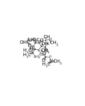 C=C[C@@]1(C)CC(=O)[C@]2(O)[C@@]3(C)[C@@H](OC(=O)CN(C)C)CCC(C)(C)[C@@H]3[C@H](OC=O)[C@H](OC(C)=O)[C@@]2(C)O1